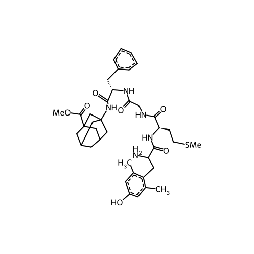 COC(=O)C12CC3CC(CC(NC(=O)[C@H](Cc4ccccc4)NC(=O)CNC(=O)[C@@H](CCSC)NC(=O)C(N)Cc4c(C)cc(O)cc4C)(C3)C1)C2